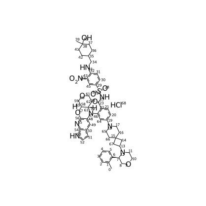 Cc1ccccc1[C@@H]1COCCN1C1CC2(CCN(c3ccc(C(=O)NS(=O)(=O)c4ccc(NCC5CCC(C)(O)CC5)c([N+](=O)[O-])c4)c(N4c5cc6cc[nH]c6nc5O[C@H]5COCC[C@@H]54)c3)CC2)C1.Cl